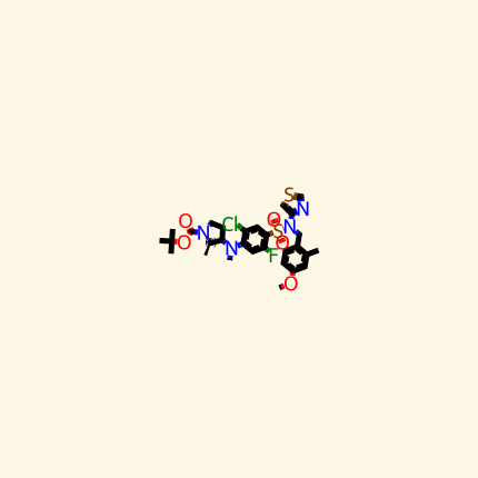 COc1ccc(CN(c2cscn2)S(=O)(=O)c2cc(Cl)c(N(C)C3CCN(C(=O)OC(C)(C)C)[C@@H]3C)cc2F)c(C)c1